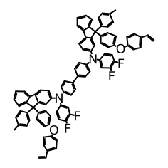 C=Cc1ccc(Oc2ccc(C3(c4ccc(C)cc4)c4ccccc4-c4ccc(N(c5ccc(-c6ccc(N(c7ccc(F)c(F)c7)c7ccc8c(c7)C(c7ccc(C)cc7)(c7ccc(Oc9ccc(C=C)cc9)cc7)c7ccccc7-8)cc6)cc5)c5ccc(F)c(F)c5)cc43)cc2)cc1